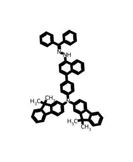 CC1(C)c2ccccc2-c2ccc(N(c3ccc(-c4ccc(NN=C(c5ccccc5)c5ccccc5)c5ccccc45)cc3)c3ccc4c(c3)C(C)(C)c3ccccc3-4)cc21